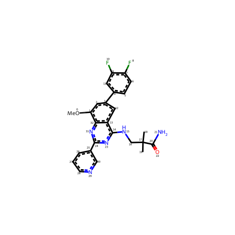 COc1cc(-c2ccc(F)c(F)c2)cc2c(NCC(C)(C)C(N)=O)nc(-c3cccnc3)nc12